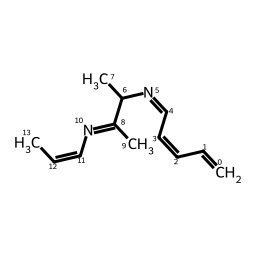 C=C/C=C\C=N/C(C)/C(C)=N/C=C\C